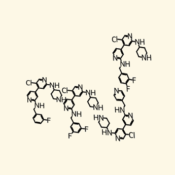 Clc1cnc(NC2CCNCC2)cc1-c1ccnc(NCc2ccncc2)c1.Fc1cc(F)cc(CNc2cc(-c3cc(NC4CCNCC4)ncc3Cl)ccn2)c1.Fc1ccc(CNc2cc(-c3cc(NC4CCNCC4)ncc3Cl)ccn2)cc1F.Fc1cccc(CNc2cc(-c3cc(NC4CCNCC4)ncc3Cl)ccn2)c1